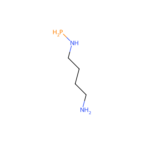 NCCCCNP